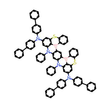 c1ccc(-c2ccc(N(c3ccc(-c4ccccc4)cc3)c3cc4c5c(c3)N(c3ccccc3)c3cc6c(cc3B5c3ccccc3S4)B3c4ccccc4Sc4cc(N(c5ccc(-c7ccccc7)cc5)c5ccc(-c7ccccc7)cc5)cc(c43)N6c3ccccc3)cc2)cc1